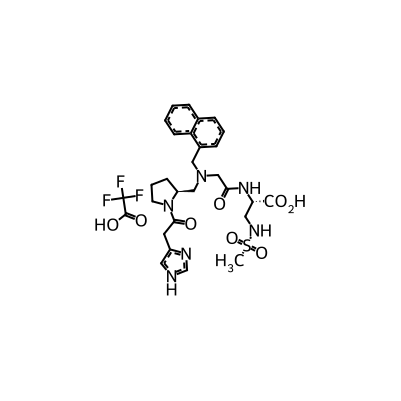 CS(=O)(=O)NC[C@H](NC(=O)CN(Cc1cccc2ccccc12)C[C@@H]1CCCN1C(=O)Cc1c[nH]cn1)C(=O)O.O=C(O)C(F)(F)F